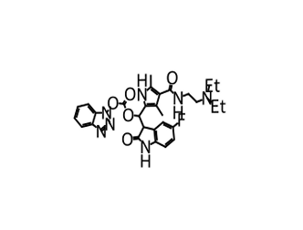 CCN(CC)CCNC(=O)c1c(C)[nH]c(C(OC(=O)On2nnc3ccccc32)C2C(=O)Nc3ccc(F)cc32)c1C